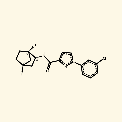 O=C(N[C@@H]1C[C@@H]2CC[C@H]1C2)c1ccn(-c2cccc(Cl)c2)n1